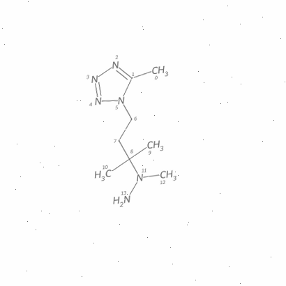 Cc1nnnn1CCC(C)(C)N(C)N